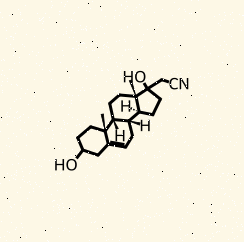 C[C@]12CCC(O)CC1=CC[C@@H]1[C@H]2CC[C@@]2(C)[C@H]1CCC2(O)CC#N